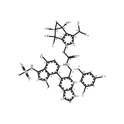 Cn1nc(NS(C)(=O)=O)c2c(Cl)ccc(-c3cc4scnc4nc3[C@@H](Cc3cc(F)cc(F)c3)NC(=O)Cn3nc(C(F)F)c4c3C(F)(F)[C@@H]3C[C@H]43)c21